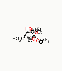 CC[Si](CC)(CC)O[C@H](/C=C/[C@@H]1[C@@H](C/C=C\CCCC(=O)O)[C@@H](O)C[C@H]1O[Si](CC)(CC)CC)COc1cccc(C(F)(F)F)c1